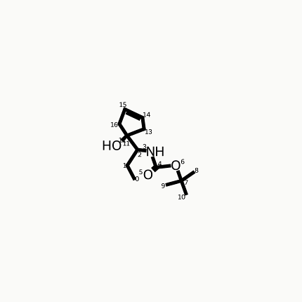 CCC(NC(=O)OC(C)(C)C)C1(O)CC=CC1